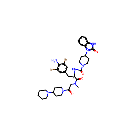 CN(CC(=O)N1CCC(N2CCCCC2)CC1)C(=O)[C@@H](Cc1cc(Br)c(N)c(Br)c1)NC(=O)N1CCC(n2c(=O)[nH]c3ccccc32)CC1